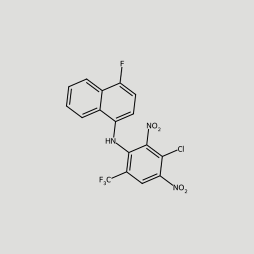 O=[N+]([O-])c1cc(C(F)(F)F)c(Nc2ccc(F)c3ccccc23)c([N+](=O)[O-])c1Cl